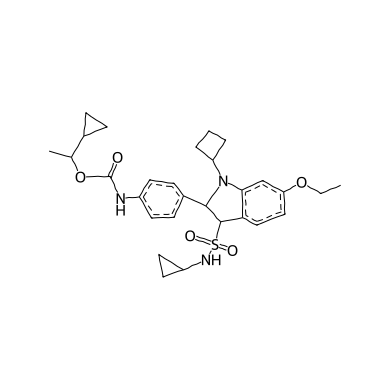 CCOc1ccc2c(c1)N(C1CCC1)C(c1ccc(NC(=O)OC(C)C3CC3)cc1)C2S(=O)(=O)NC1CC1